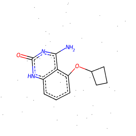 Nc1nc(=O)[nH]c2cccc(OC3CCC3)c12